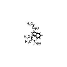 CCOC(=O)c1cc(C(C)C(C)CCO)n2ncccc12